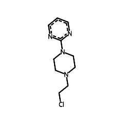 ClCCN1CCN(c2ncccn2)CC1